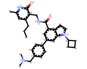 CCCc1cc(C)[nH]c(=O)c1CNC(=O)c1cc(-c2ccc(CN(C)C)cc2)cc2c1ccn2C1CCC1